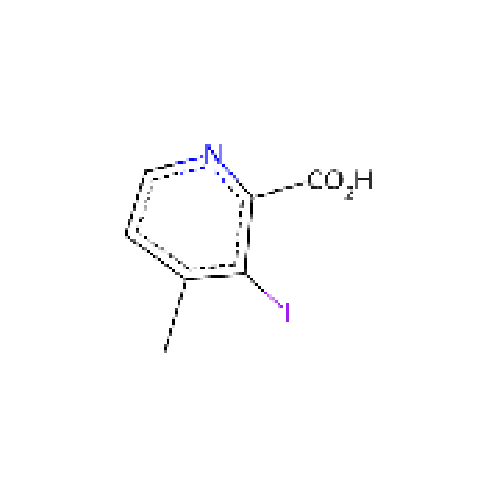 Cc1ccnc(C(=O)O)c1I